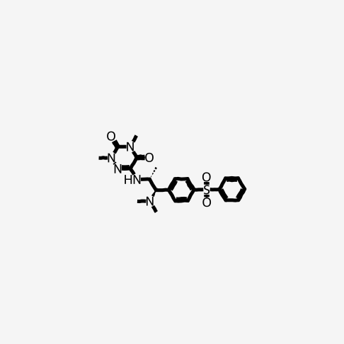 C[C@@H](Nc1nn(C)c(=O)n(C)c1=O)[C@@H](c1ccc(S(=O)(=O)c2ccccc2)cc1)N(C)C